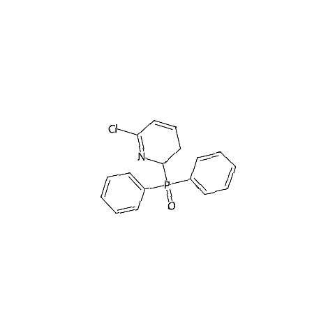 O=P(c1ccccc1)(c1ccccc1)C1CC=CC(Cl)=N1